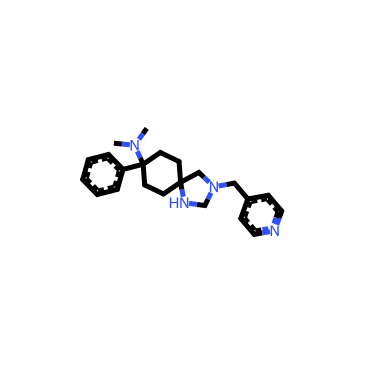 CN(C)C1(c2ccccc2)CCC2(CC1)CN(Cc1ccncc1)CN2